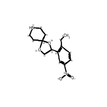 CCc1ccc([N+](=O)[O-])cc1C1COC2(CCNCC2)O1